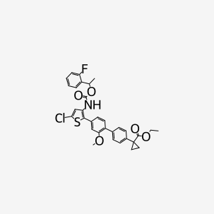 CCOC(=O)C1(c2ccc(-c3ccc(-c4sc(Cl)cc4NC(=O)OC(C)c4ccccc4F)cc3OC)cc2)CC1